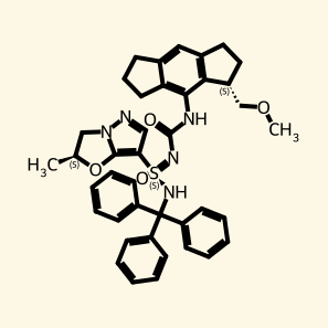 COC[C@H]1CCc2cc3c(c(NC(=O)N=[S@@](=O)(NC(c4ccccc4)(c4ccccc4)c4ccccc4)c4cnn5c4O[C@@H](C)C5)c21)CCC3